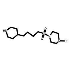 CCN1CCN(S(=O)(=O)CCCCC2CCNCC2)CC1